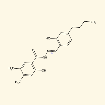 CCCCc1ccc(/C=N/NC(=O)c2cc(C)c(C)cc2O)c(O)c1